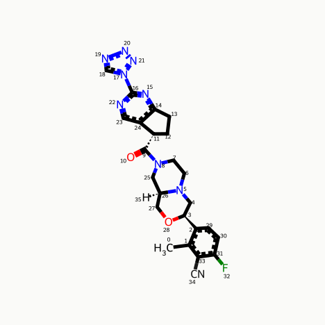 Cc1c([C@@H]2CN3CCN(C(=O)[C@H]4CCc5nc(-n6cnnn6)ncc54)C[C@@H]3CO2)ccc(F)c1C#N